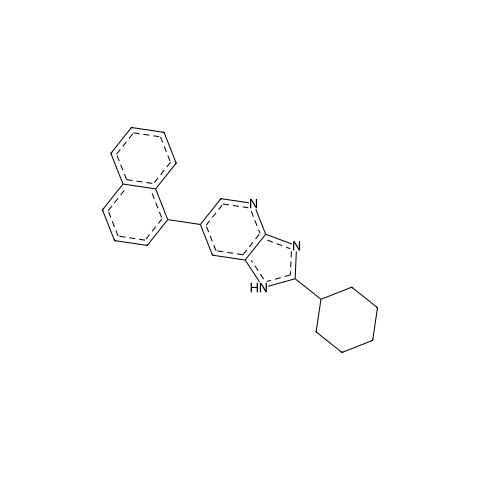 c1ccc2c(-c3cnc4nc(C5CCCCC5)[nH]c4c3)cccc2c1